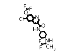 CC(N[C@H]1CC[C@H](NC(=O)c2cnc3cc(OC(F)F)c(Cl)cc3c2)CC1)C(F)F